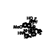 COc1ccc2ccc(S(=O)(=O)N(Cc3ccsc3)[C@H]3CCN(Cc4csc(C(=N)N)c4)C3=O)cc2c1.O=C(O)C(F)(F)F